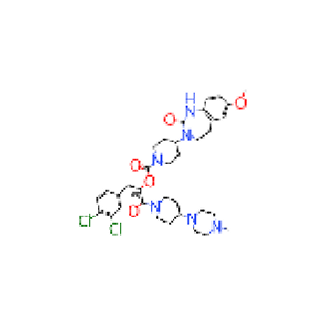 COc1ccc2c(c1)CCN(C1CCN(C(=O)O[C@H](Cc3ccc(Cl)c(Cl)c3)C(=O)N3CCC(N4CCN(C)CC4)CC3)CC1)C(=O)N2